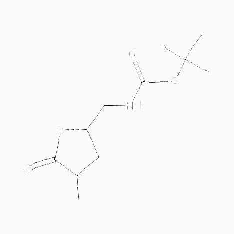 CC1CC(CNC(=O)OC(C)(C)C)OC1=O